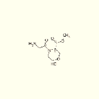 COC(=O)[C@@H]1COCCN1C(=O)CN.Cl